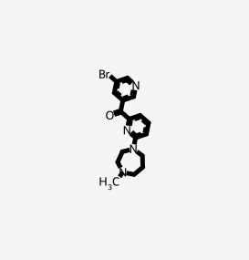 CN1CCCN(c2cccc(C(=O)c3cncc(Br)c3)n2)CC1